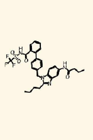 CCCCc1nc2cc(NC(=O)CCC)ccc2n1Cc1ccc(-c2ccccc2C(=O)NS(=O)(=O)C(F)(F)F)cc1